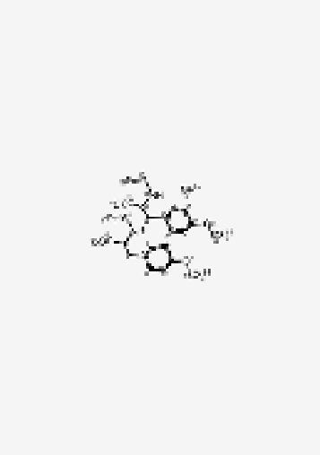 CCCCCN[C@@H](Cc1ccc(OS(=O)(=O)O)cc1)C(=O)[O-].CCCCCN[C@@H](Cc1ccc(OS(=O)(=O)O)cc1)C(=O)[O-].[Ba+2]